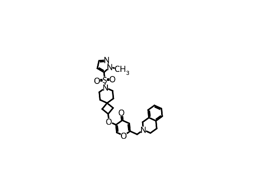 Cn1nccc1S(=O)(=O)N1CCC2(CC1)CC(Oc1coc(CN3CCc4ccccc4C3)cc1=O)C2